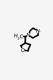 CC(C1CCOC1)N1CC[N]CC1